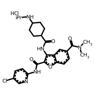 CC(C)NC1CCC(C(=O)Nc2c(C(=O)Nc3ccc(Cl)cn3)oc3ccc(C(=O)N(C)C)cc23)CC1.Cl